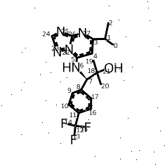 CC(C)c1cc(N[C@H](c2ccc(C(F)(F)F)cc2)C(C)(C)O)n2ncnc2n1